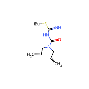 C=CCN(CC=C)C(=O)NC(=N)SC(C)CC